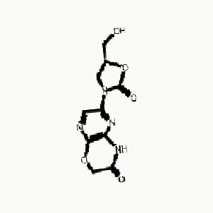 O=C1COc2ncc(N3C[C@@H](CO)OC3=O)nc2N1